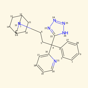 c1ccc(C(CCN2CC3CCC(CC3)C2)(c2ccccn2)c2nnn[nH]2)cc1